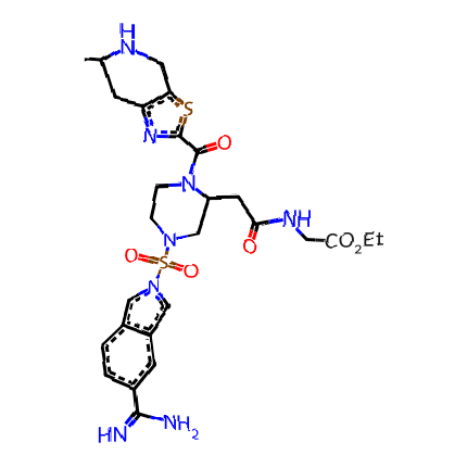 CCOC(=O)CNC(=O)CC1CN(S(=O)(=O)n2cc3ccc(C(=N)N)cc3c2)CCN1C(=O)c1nc2c(s1)CNC(C)C2